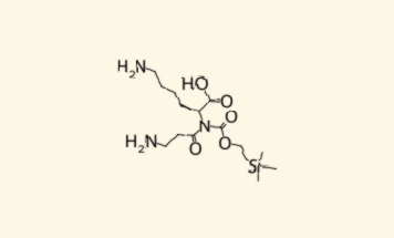 C[Si](C)(C)CCOC(=O)N(C(=O)CCN)[C@@H](CCCCN)C(=O)O